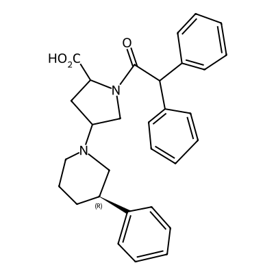 O=C(O)C1CC(N2CCC[C@H](c3ccccc3)C2)CN1C(=O)C(c1ccccc1)c1ccccc1